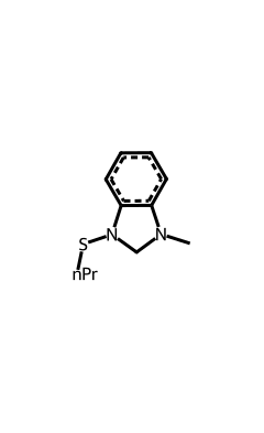 CCCSN1CN(C)c2ccccc21